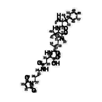 CN[C@H](C(=O)NC(C(=O)N(C)C/C=C(\C)C(=O)N[C@H](CCC(=O)NCCCCN1C(=O)C=CC1=O)C(=O)O)C(C)(C)C)C(C)(C)c1ccccc1